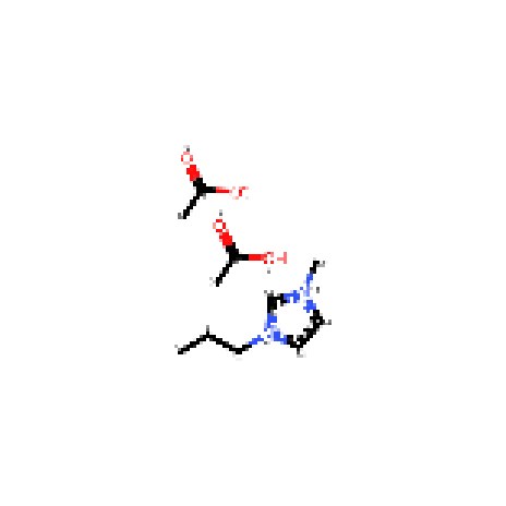 CC(=O)O.CC(=O)[O-].CCC[n+]1ccn(C)c1